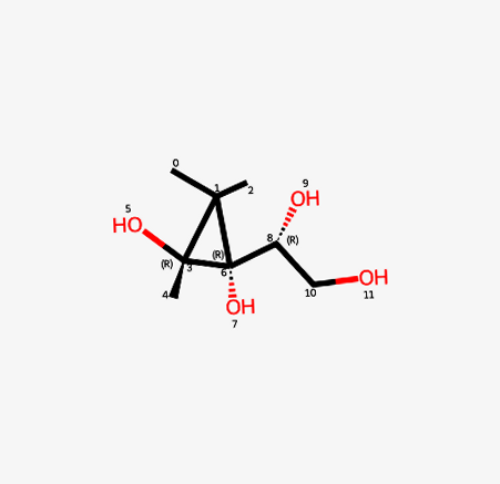 CC1(C)[C@@](C)(O)[C@]1(O)[C@H](O)CO